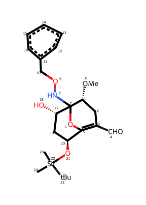 CO[C@@H]1CC(C=O)=C2OC1(NOCc1ccccc1)[C@@H](O)C[C@@H]2O[Si](C)(C)C(C)(C)C